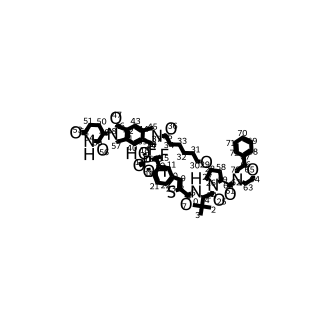 CC(C)(C)[C@H](NC(=O)c1cc2cc(C(F)(F)P(=O)(O)O)ccc2s1)C(=O)N1C[C@@H](OCCCCCC(=O)N2Cc3cc4c(cc3C2)C(=O)N(C2CCC(=O)NC2=O)C4)C[C@H]1C(=O)N1CCOC(c2ccccc2)C1